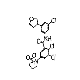 O=C(Nc1cc(Cl)cc([C@H]2CCOC2)c1)c1cc(N2CCCS2(=O)=O)cc(Cl)c1Cl